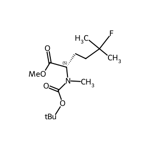 COC(=O)[C@H](CCC(C)(C)F)N(C)C(=O)OC(C)(C)C